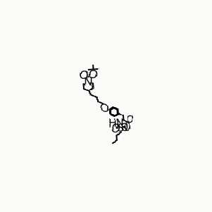 CCCCS(=O)(=O)NC(Cc1ccc(OCCCCC2CCN(C(=O)OC(C)(C)C)CC2)cc1)C(=O)OC